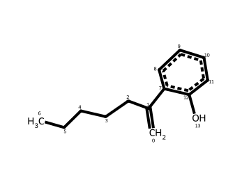 C=C(CCCCC)c1ccccc1O